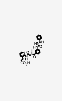 O=C(O)CCc1cccnc1NC(=O)CNC(=O)c1cccc(NC(=O)NNc2ccccc2)c1